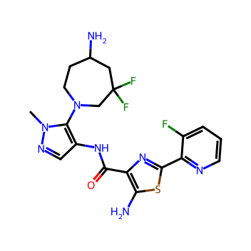 Cn1ncc(NC(=O)c2nc(-c3ncccc3F)sc2N)c1N1CCC(N)CC(F)(F)C1